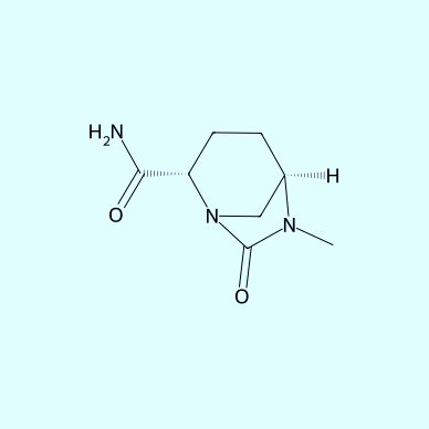 CN1C(=O)N2C[C@H]1CC[C@H]2C(N)=O